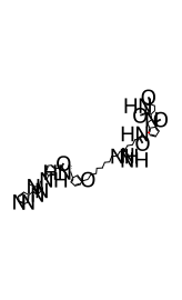 C[C@@H](NC(=O)c1cccc(NCc2nnc(-c3ccncn3)n2C)c1)c1cccc(OCCCCCCCN/C=C(/CCCC(=O)Nc2cccc3c2CN(C2CCC(=O)NC2=O)C3=O)N=N)c1